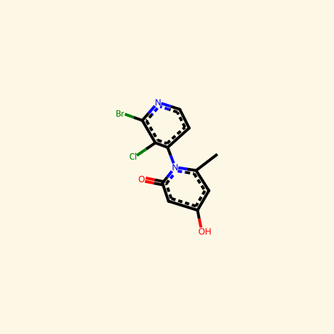 Cc1cc(O)cc(=O)n1-c1ccnc(Br)c1Cl